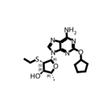 CCS[C@H]1[C@H](O)[C@@H](C)O[C@H]1n1cnc2c(N)nc(OC3CCCC3)nc21